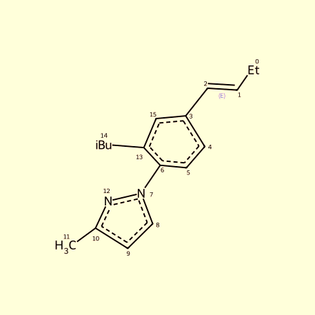 CC/C=C/c1ccc(-n2ccc(C)n2)c(C(C)CC)c1